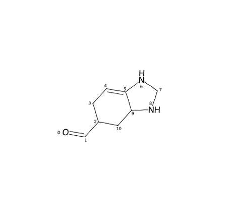 O=CC1CC=C2NCNC2C1